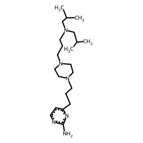 CC(C)CN(CCCN1CCN(CCCc2ccnc(N)n2)CC1)CC(C)C